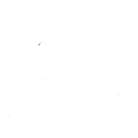 CNC(=O)c1ccc(CNC(=O)c2nn(CCO[C@@H]3CCCCO3)c3ccc(Br)cc23)cc1